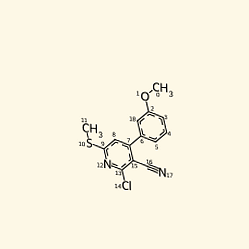 COc1cccc(-c2cc(SC)nc(Cl)c2C#N)c1